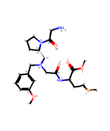 COC(=O)C(CCSC)NC(=O)CN(Cc1cccc(OC)c1)C[C@@H]1CCCN1C(=O)CN